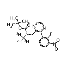 [2H]C([2H])([2H])N(Cc1nccnc1-c1cccc([N+](=O)[O-])c1F)C(=O)OC(C)(C)C